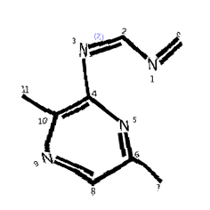 C=N/C=N\c1nc(C)cnc1C